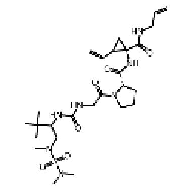 C=CCNC(=O)[C@@]1(NC(=O)[C@@H]2CCCN2C(=O)CNC(=O)NC(CN(C)S(=O)(=O)N(C)C)C(C)(C)C)CC1C=C